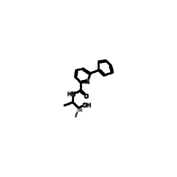 CC(NC(=O)c1cccc(-c2ccccc2)n1)[C@@H](C)O